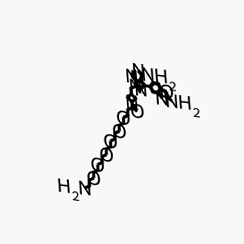 NCCOCCOCCOCCOCCOCCOCCC(=O)N1CC(Cn2nc(-c3ccc4oc(N)nc4c3)c3c(N)ncnc32)C1